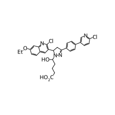 CCOc1ccc2cc(C3CC(c4ccc(-c5ccc(Cl)nc5)cc4)=NN3C(O)CCCC(=O)O)c(Cl)nc2c1